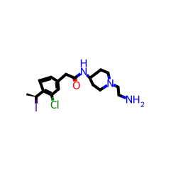 C[C@H](I)c1ccc(CC(=O)NC2CCN(CCN)CC2)cc1Cl